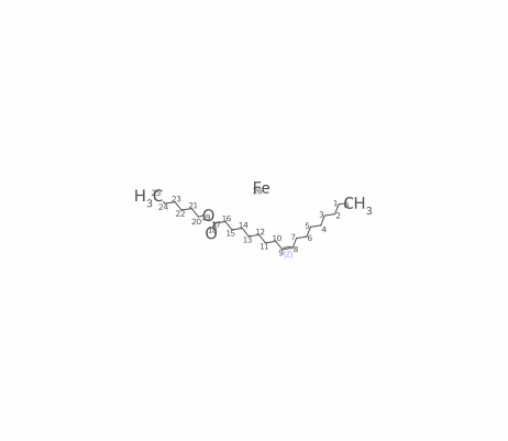 CCCCCCCC/C=C\CCCCCCCC(=O)OCCCCCC.[Fe]